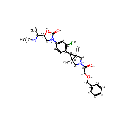 CC(C)(C)C(NC(=O)O)[C@@H]1CN(c2ccc(C3[C@H]4CN(C(=O)COCc5ccccc5)C[C@@H]34)c(F)c2)C(=O)O1